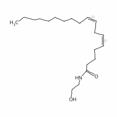 CCCCCCCCC/C=C\C/C=C\CCCC(=O)NCCO